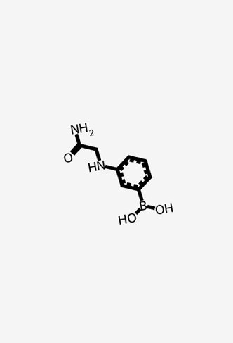 NC(=O)CNc1cccc(B(O)O)c1